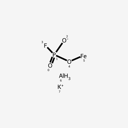 O=P([O-])(F)[O][Fe].[AlH3].[K+]